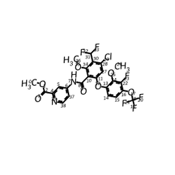 COC(=O)c1cc(NC(=O)c2c(Oc3ccc(OC(F)(F)F)c(F)c3OC)cc(Cl)c(C(F)F)c2OC)ccn1